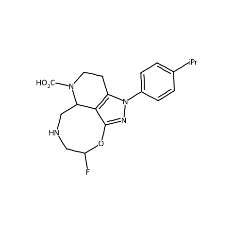 CC(C)c1ccc(-n2nc3c4c2CCN(C(=O)O)C4CNCC(F)O3)cc1